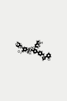 O=C(NS(=O)(=O)c1ccc(NCC2CCOCC2)c([N+](=O)[O-])c1)c1ccc(-c2ccc(CN3CCCC3c3ccccc3Cl)cc2)cc1Oc1cnc2[nH]ccc2c1